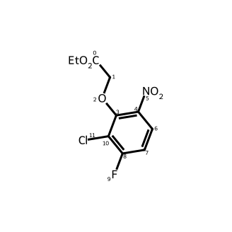 CCOC(=O)COc1c([N+](=O)[O-])ccc(F)c1Cl